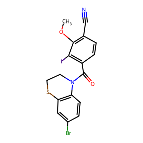 COc1c(C#N)ccc(C(=O)N2CCSc3cc(Br)ccc32)c1I